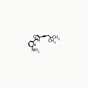 CC(C)CC#Cc1coc(-c2cccc(N)n2)n1